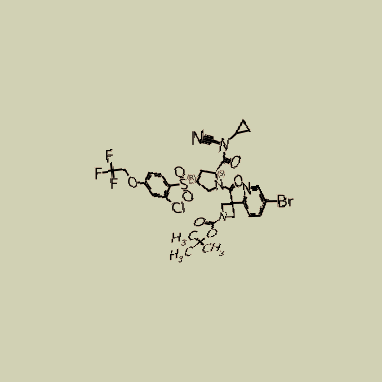 CC(C)(C)OC(=O)N1CC(C(=O)N2C[C@H](S(=O)(=O)c3ccc(OCC(F)(F)F)cc3Cl)C[C@H]2C(=O)N(C#N)C2CC2)(c2ccc(Br)cn2)C1